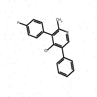 Cc1ncc(-c2ccccc2)c(Cl)c1-c1ccc(F)cc1